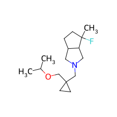 CC(C)OCC1(CN2CC3CCC(C)(F)C3C2)CC1